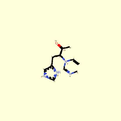 C=CN(/C=N\C)C(Cc1cnc[nH]1)C(C)=O